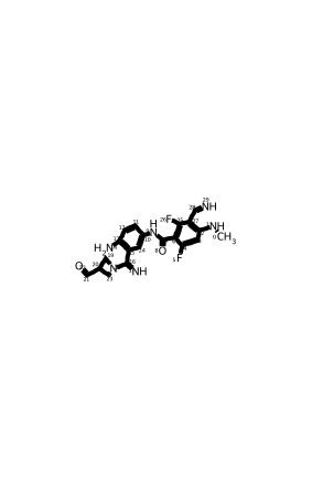 CNc1cc(F)c(C(=O)Nc2ccc(N)c(C(=N)N3CC(C=O)C3)c2)c(F)c1C=N